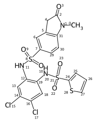 CN1C(=O)Cc2cc(S(=O)(=O)Nc3cc(Cl)c(Cl)cc3NS(=O)(=O)c3cccs3)ccc21